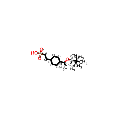 CC(O[Si](C)(C)C(C)(C)C)C1CCC(CCS(=O)(=O)O)CC1